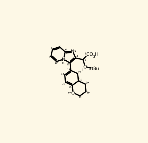 CC(C)(C)OC(C(=O)O)c1nc2ccccn2c1C1=CC=C2OCCCC2C1